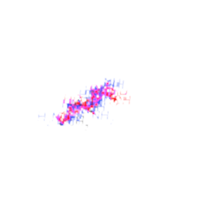 CC(C)[C@H](NC(=O)[C@@H]1CCCN1C(=O)CN)C(=O)NCC(=O)N1CCC[C@H]1C(=O)N[C@H](C(=O)NCC(=O)N[C@@H](CCCCN)C(=O)N[C@@H](Cc1c[nH]cn1)C(=O)NCC(=O)N[C@@H](CO)C(=O)N[C@@H](CCCNC(=N)N)C(=O)NCC(=O)N[C@@H](CCC(=O)O)C(=O)O)[C@@H](C)O